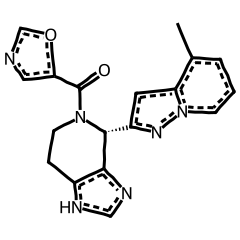 Cc1cccn2nc([C@@H]3c4nc[nH]c4CCN3C(=O)c3cnco3)cc12